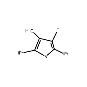 Cc1c(C(C)C)sc(C(C)C)c1F